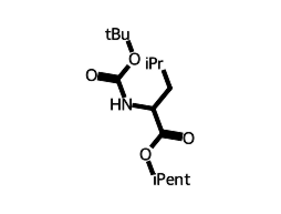 CCCC(C)OC(=O)C(CC(C)C)NC(=O)OC(C)(C)C